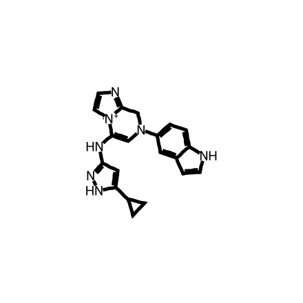 C1=C[N+]2C(Nc3cc(C4CC4)[nH]n3)=CN(c3ccc4[nH]ccc4c3)CC2=N1